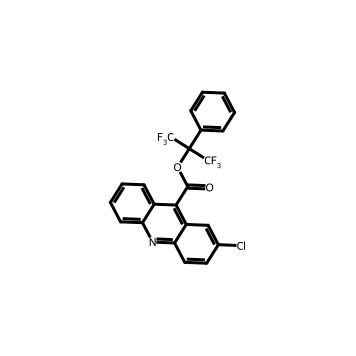 O=C(OC(c1ccccc1)(C(F)(F)F)C(F)(F)F)c1c2ccccc2nc2ccc(Cl)cc12